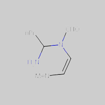 CCCC(N)N(C=O)/C=C\NC